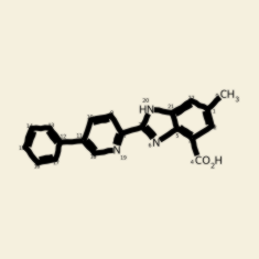 Cc1cc(C(=O)O)c2nc(-c3ccc(-c4ccccc4)cn3)[nH]c2c1